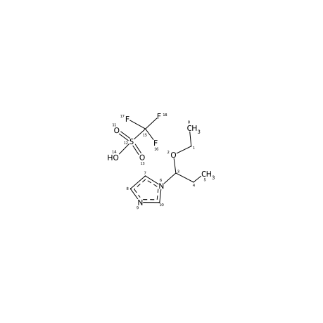 CCOC(CC)n1ccnc1.O=S(=O)(O)C(F)(F)F